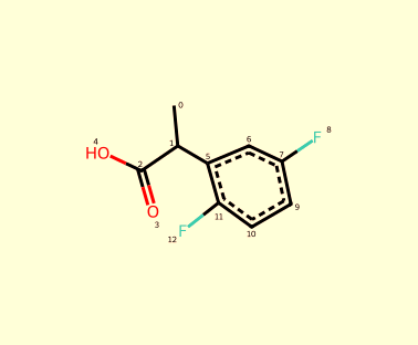 CC(C(=O)O)c1cc(F)ccc1F